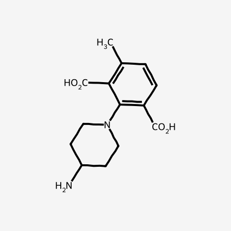 Cc1ccc(C(=O)O)c(N2CCC(N)CC2)c1C(=O)O